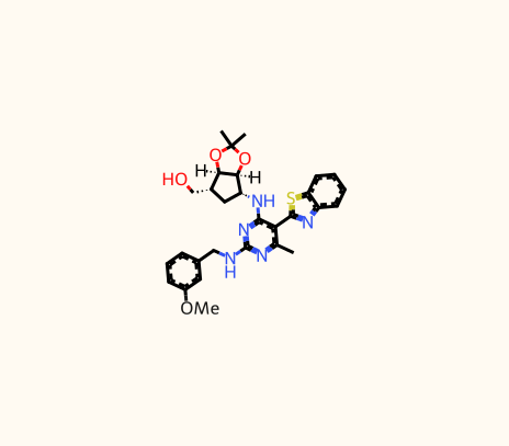 COc1cccc(CNc2nc(C)c(-c3nc4ccccc4s3)c(N[C@@H]3C[C@H](CO)[C@H]4OC(C)(C)O[C@H]43)n2)c1